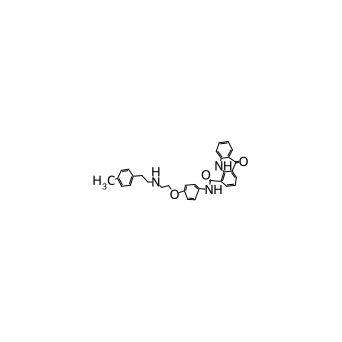 Cc1ccc(CCNCCOc2ccc(NC(=O)c3cccc4c(=O)c5ccccc5[nH]c34)cc2)cc1